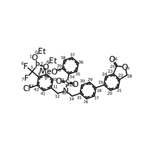 CCOP(OCC)C(F)(F)c1ccc(CN(Cc2ccc(-c3ccc4c(c3)C(=O)OC4)cc2)S(=O)(=O)c2ccccc2OC)cc1Cl